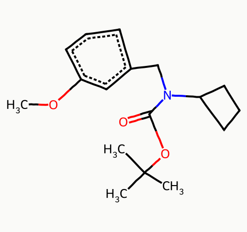 COc1cccc(CN(C(=O)OC(C)(C)C)C2CCC2)c1